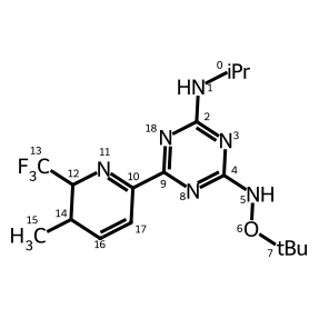 CC(C)Nc1nc(NOC(C)(C)C)nc(C2=NC(C(F)(F)F)C(C)C=C2)n1